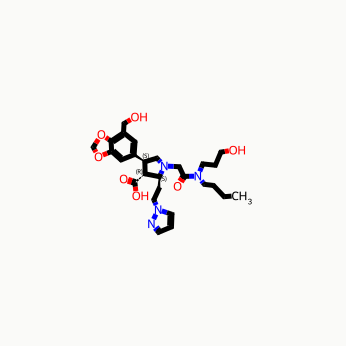 CCCCN(CCCO)C(=O)CN1C[C@H](c2cc(CO)c3c(c2)OCO3)[C@@H](C(=O)O)[C@@H]1CCn1cccn1